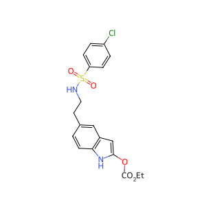 CCOC(=O)Oc1cc2cc(CCNS(=O)(=O)c3ccc(Cl)cc3)ccc2[nH]1